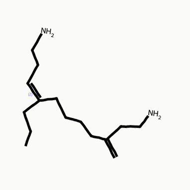 C=C(CCN)CCCC/C(=C\CCN)CCC